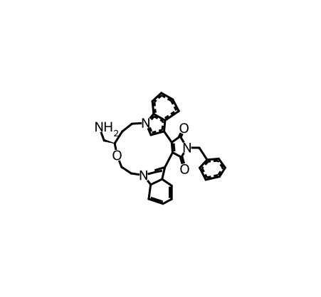 NC[C@H]1CCn2cc(c3ccccc32)C2=C(C(=O)N(Cc3ccccc3)C2=O)C2=CN(CCO1)C1C=CC=CC21